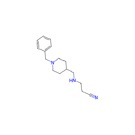 N#CCCNCC1CCN(Cc2ccccc2)CC1